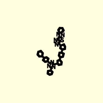 c1ccc(-c2ccc(-c3nc(-c4ccccc4)nc(-c4cccc(-c5ccc(-c6cccc(-c7ncnc8c7sc7nc9ccccc9nc78)c6)cc5)c4)n3)cc2)cc1